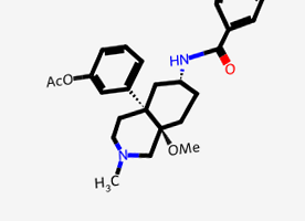 CO[C@]12CC[C@@H](NC(=O)c3ccccc3)C[C@]1(c1cccc(OC(C)=O)c1)CCN(C)C2